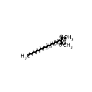 CCCCCCCCC=CCCCCCCCCC(C(=O)OC)C(=O)OC